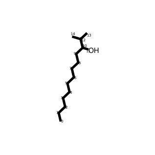 CCCCCCCCCCC(O)[C](C)C